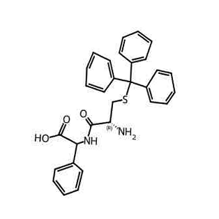 N[C@@H](CSC(c1ccccc1)(c1ccccc1)c1ccccc1)C(=O)NC(C(=O)O)c1ccccc1